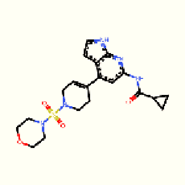 O=C(Nc1cc(C2=CCN(S(=O)(=O)N3CCOCC3)CC2)c2cc[nH]c2n1)C1CC1